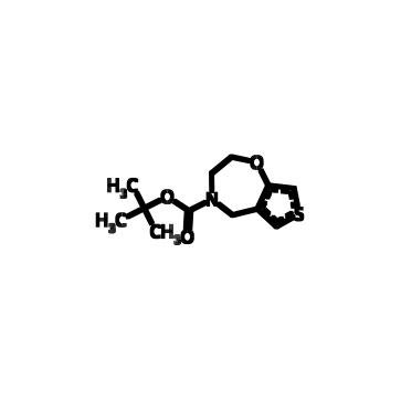 CC(C)(C)OC(=O)N1CCOc2cscc2C1